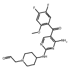 COc1cc(F)c(F)cc1C(=O)c1cnc(NC2CCN(CC=O)CC2)nc1N